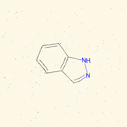 [c]1cc[c]c2[nH]ncc12